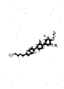 CCCCCc1cc2sc(-c3ccc(-c4cc(C)c(N=C=S)c(C)c4)c(F)c3)cc2s1